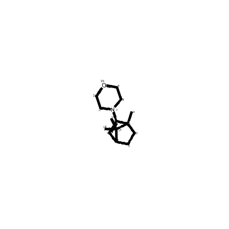 CC12CCC(C=C1N1CCOCC1)C2(C)C